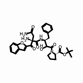 CC(C)(C)OC(=O)[C@@H]1CCCN1C(=O)C(O)[C@H](Cc1ccccc1)NC(=O)[C@@](N)(CC(N)=O)C(=O)c1cc2ccccc2o1